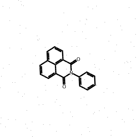 O=C1c2cccc3cccc(c23)C(=O)N1c1cc[c]cc1